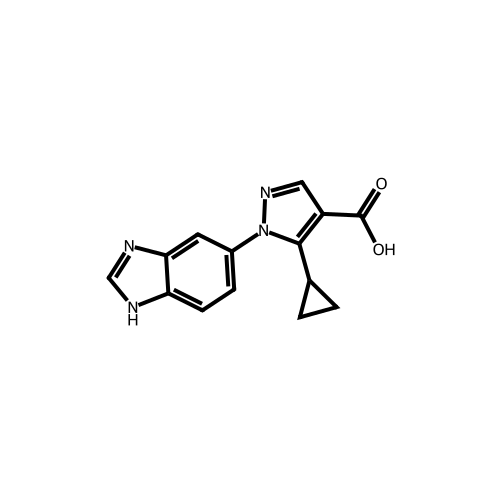 O=C(O)c1cnn(-c2ccc3[nH]cnc3c2)c1C1CC1